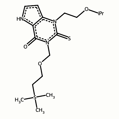 CC(C)OCCn1c(=S)n(COCCS(C)(C)C)c(=O)c2[nH]ccc21